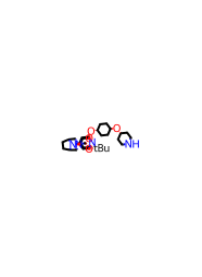 CC(C)(C)OC(=O)N1CC2CCC(C1)N2c1ccnc(O[C@H]2CC[C@H](OC3CCNCC3)CC2)c1